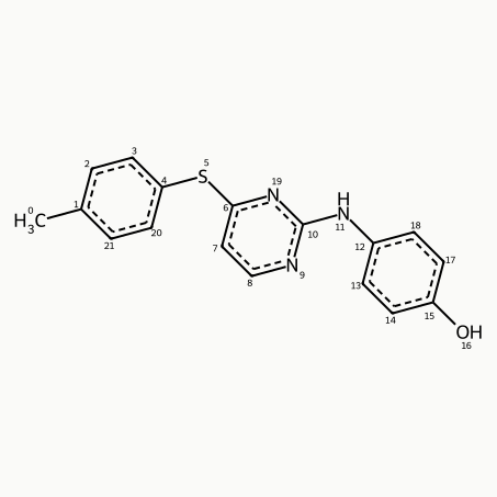 Cc1ccc(Sc2ccnc(Nc3ccc(O)cc3)n2)cc1